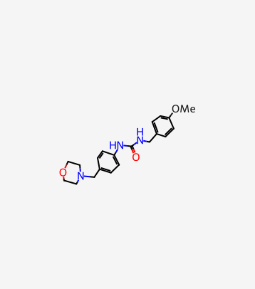 COc1ccc(CNC(=O)Nc2ccc(CN3CCOCC3)cc2)cc1